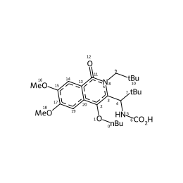 CCCCOc1c(C(NC(=O)O)C(C)(C)C)n(CC(C)(C)C)c(=O)c2cc(OC)c(OC)cc12